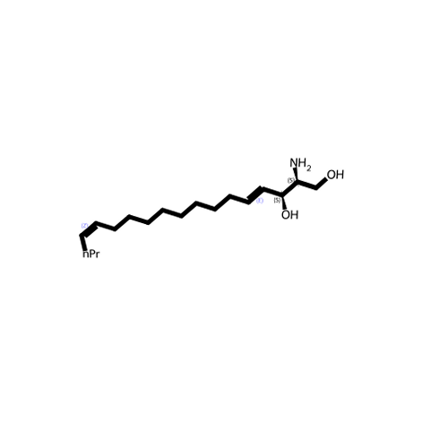 CCC/C=C\CCCCCCCC/C=C/[C@H](O)[C@@H](N)CO